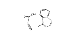 Cc1cccc2ccccc12.N#CC(=O)O